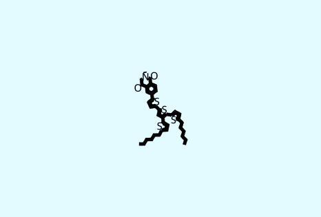 CCCCCCc1ccc(-c2cc(-c3ccc(-c4ccc5c(c4)C(=O)CN(C)C5=O)s3)sc2-c2ccc(CCCCCC)s2)s1